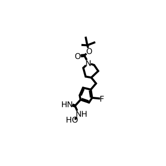 CC(C)(C)OC(=O)N1CCC(Cc2ccc(C(=N)NO)cc2F)CC1